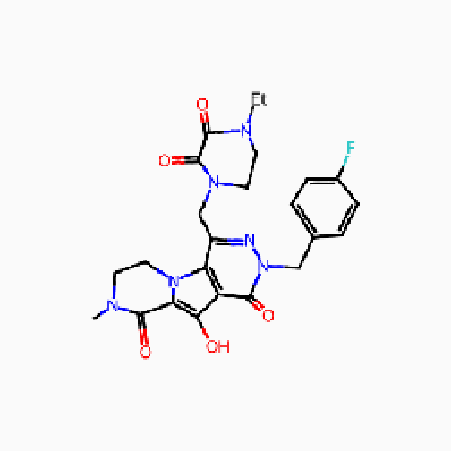 CCN1CCN(Cc2nn(Cc3ccc(F)cc3)c(=O)c3c(O)c4n(c23)CCN(C)C4=O)C(=O)C1=O